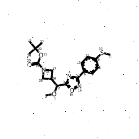 COC(c1nc(-c2ccc(SC)cc2)no1)C1CN(C(=O)OC(C)(C)C)C1